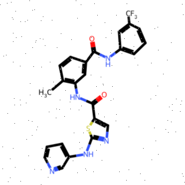 Cc1ccc(C(=O)Nc2cccc(C(F)(F)F)c2)cc1NC(=O)c1cnc(Nc2cccnc2)s1